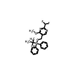 COc1nc(C(F)F)ncc1CO[Si](c1ccccc1)(c1ccccc1)C(C)(C)C